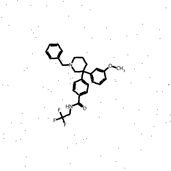 COc1cccc(C2(c3ccc(C(=O)NCC(F)(F)F)cc3)CCCN(Cc3ccccc3)C2)c1